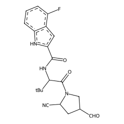 CC(C)(C)C(NC(=O)c1cc2c(F)cccc2[nH]1)C(=O)N1CC(C=O)CC1C#N